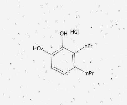 CCCc1ccc(O)c(O)c1CCC.Cl